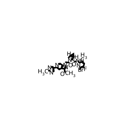 CC(=O)c1nn(CC(=O)N2C[C@H]3C[C@H]3[C@H]2C(=O)Nc2nc(Br)c(F)cc2C)c2cnc(-c3cnc(C)nc3)cc12